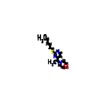 CCCCCCSc1nccc(C(C)N2CCOCC2)n1